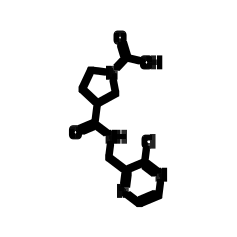 O=C(NCc1nccnc1Cl)C1CCN(C(=O)O)C1